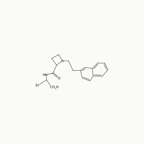 CCC(NC(=O)C1CCN1CCc1ccc2ccccc2c1)C(=O)O